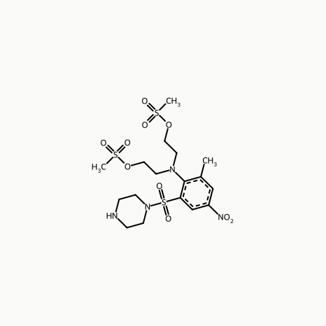 Cc1cc([N+](=O)[O-])cc(S(=O)(=O)N2CCNCC2)c1N(CCOS(C)(=O)=O)CCOS(C)(=O)=O